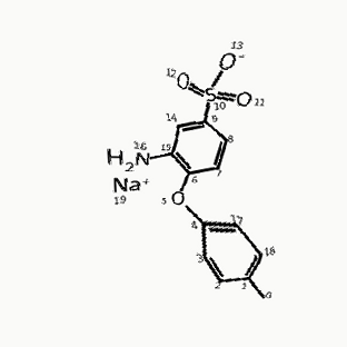 Cc1ccc(Oc2ccc(S(=O)(=O)[O-])cc2N)cc1.[Na+]